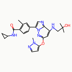 Cc1cc(-c2cnc3c(NCC(C)(C)O)cc(Oc4ccnn4C)nn23)ccc1C(=O)NC1CC1